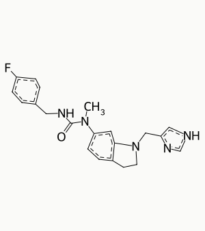 CN(C(=O)NCc1ccc(F)cc1)c1ccc2c(c1)N(Cc1c[nH]cn1)CC2